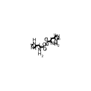 N[C@@H](Cc1cnc[nH]1)C(=O)OOC(=O)[C@@H](N)Cc1cnc[nH]1